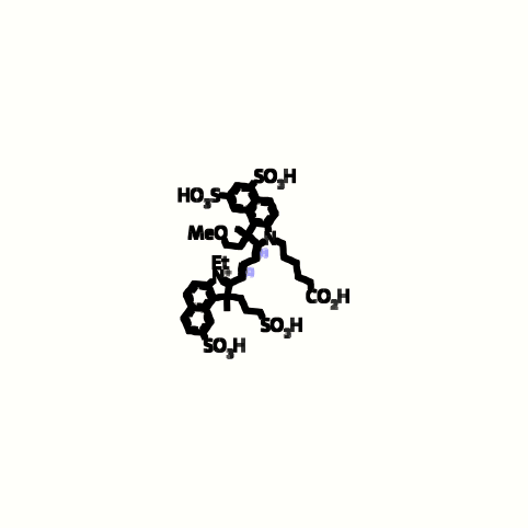 CC[N+]1=C(/C=C/C=C2/N(CCCCCC(=O)O)c3ccc4c(S(=O)(=O)O)cc(S(=O)(=O)O)cc4c3C2(C)CCOC)C(C)(CCCS(=O)(=O)O)c2c1ccc1ccc(S(=O)(=O)O)cc21